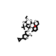 CCOC(=O)[C@@H]1[C@H](C(C)(C)C)[C@H](OCc2cc(C3CC3)cnc2OC)[C@H](c2ccccc2C)N1C(=O)[C@@H]1CCCCO1